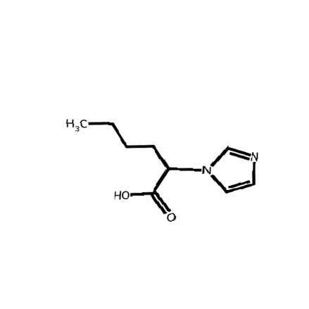 CCCCC(C(=O)O)n1ccnc1